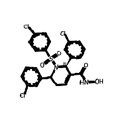 O=C(NO)C1=CCC(c2cccc(Cl)c2)N(S(=O)(=O)c2ccc(Cl)cc2)[C@H]1c1cccc(Cl)c1